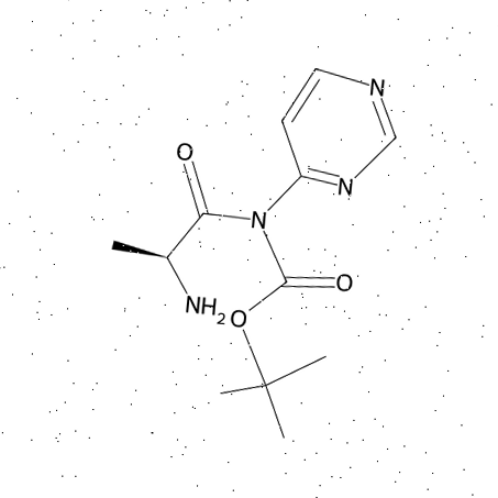 C[C@H](N)C(=O)N(C(=O)OC(C)(C)C)c1ccncn1